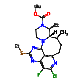 CCSc1nc2c3c(nc(Cl)c(F)c3n1)CC[C@H](C)[C@H]1[C@H](CC)N(C(=O)OC(C)(C)C)CCN21